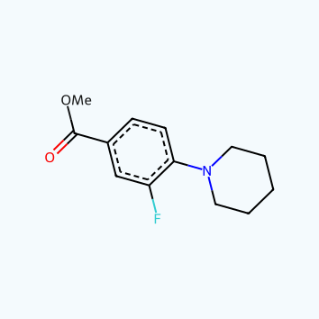 COC(=O)c1ccc(N2CCCCC2)c(F)c1